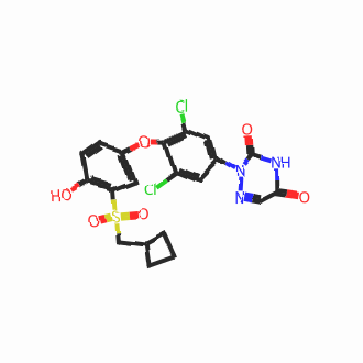 O=c1cnn(-c2cc(Cl)c(Oc3ccc(O)c(S(=O)(=O)CC4CCC4)c3)c(Cl)c2)c(=O)[nH]1